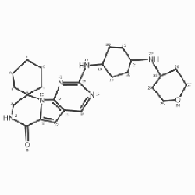 O=C1NCC2(CCCCC2)n2c1cc1cnc(NC3CCC(NC4CCOCC4)CC3)nc12